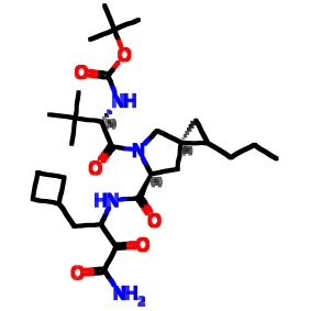 CCCC1C[C@@]12C[C@@H](C(=O)NC(CC1CCC1)C(=O)C(N)=O)N(C(=O)[C@@H](NC(=O)OC(C)(C)C)C(C)(C)C)C2